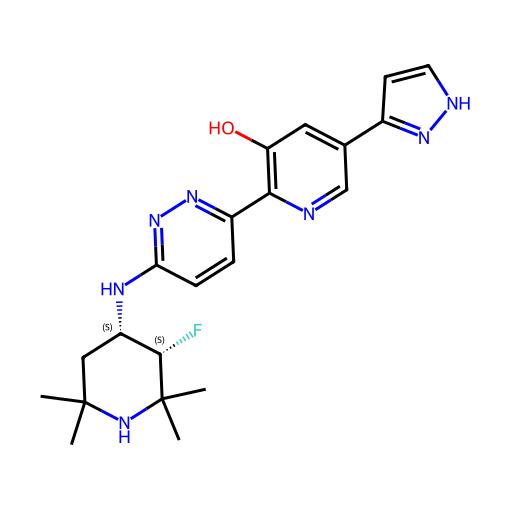 CC1(C)C[C@H](Nc2ccc(-c3ncc(-c4cc[nH]n4)cc3O)nn2)[C@H](F)C(C)(C)N1